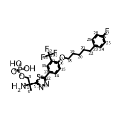 CC(N)(COP(=O)(O)O)c1nnc(-c2ccc(OCCCCCc3ccc(F)cc3)c(C(F)(F)F)c2)s1